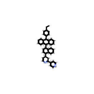 CCc1ccc(-c2c3ccccc3c(-c3ccc(C4C=CN=C(c5ccncc5)C4)c4ccccc34)c3ccccc23)cc1